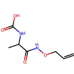 C=CCONC(=O)C(C)NC(=O)O